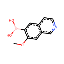 COc1cc2cnccc2cc1B(O)O